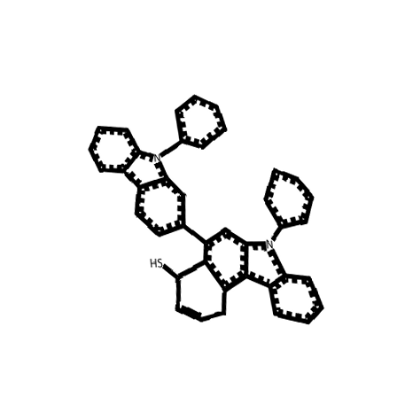 SC1C=CCc2c1c(-c1ccc3c4ccccc4n(-c4ccccc4)c3c1)cc1c2c2ccccc2n1-c1ccccc1